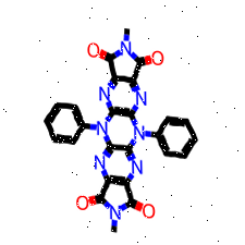 Cn1c(=O)c2nc3c(nc2c1=O)n(-c1ccccc1)c1nc2c(=O)n(C)c(=O)c2nc1n3-c1ccccc1